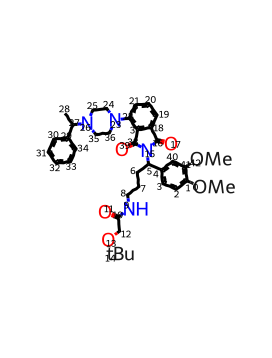 COc1ccc(C(CCCNC(=O)COC(C)(C)C)N2C(=O)c3cccc(N4CCN(C(C)c5ccccc5)CC4)c3C2=O)cc1OC